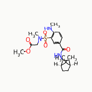 CNc1ccc(C(=O)N[C@H]2C[C@H]3CC[C@@H]2C3(C)C)cc1S(=O)(=O)N(C)CC(=O)OC